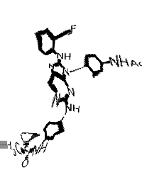 CC(=O)N[C@H]1CC[C@H](n2c(Nc3ccccc3F)nc3cnc(N[C@H]4CC[C@H](NS(C)(=O)=O)CC4)nc32)CC1